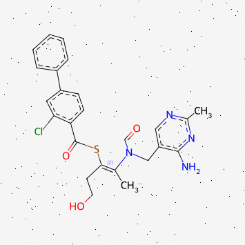 C/C(=C(\CCO)SC(=O)c1ccc(-c2ccccc2)cc1Cl)N(C=O)Cc1cnc(C)nc1N